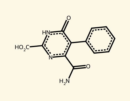 NC(=O)c1nc(C(=O)O)[nH]c(=O)c1-c1ccccc1